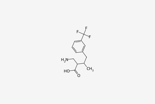 CC(Cc1cccc(C(F)(F)F)c1)C(CN)C(=O)O